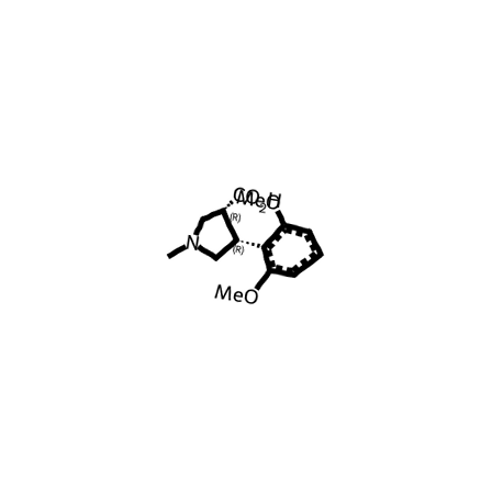 COc1cccc(OC)c1[C@@H]1CN(C)C[C@@H]1C(=O)O